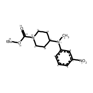 CN(c1cccc([N+](=O)[O-])c1)C1CCN(C(=O)OC(C)(C)C)CC1